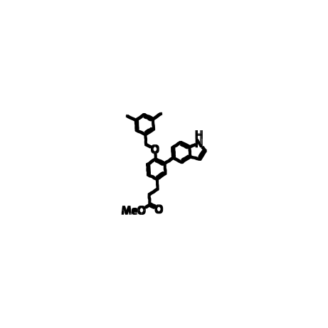 COC(=O)CCc1ccc(OCc2cc(C)cc(C)c2)c(-c2ccc3[nH]ccc3c2)c1